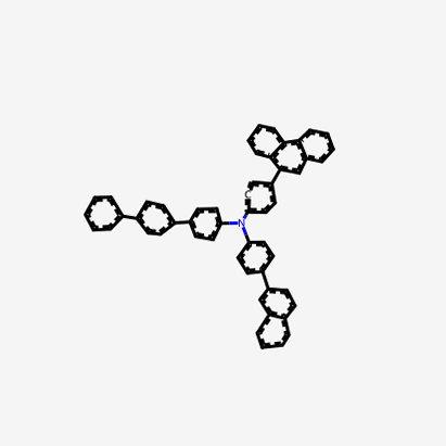 c1ccc(-c2ccc(-c3ccc(N(c4ccc(-c5ccc6ccccc6c5)cc4)c4ccc(-c5cc6ccccc6c6ccccc56)cc4)cc3)cc2)cc1